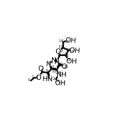 CCOC(=O)C(=N)c1nnn(C2OC(CO)C(O)C2O)c(=O)c1NCO